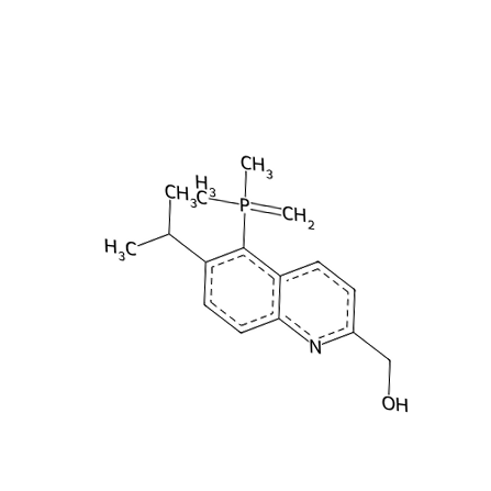 C=P(C)(C)c1c(C(C)C)ccc2nc(CO)ccc12